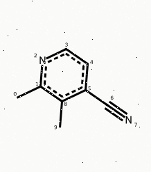 Cc1nccc(C#N)c1C